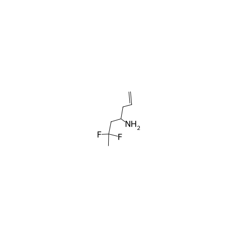 C=CCC(N)CC(C)(F)F